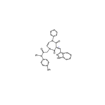 CCCc1ccc(N(C(=O)CN2C=CN(c3ccccc3)C(=O)/C(=C/c3n[nH]c4ccccc34)C2=O)C(C)C)cc1